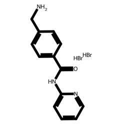 Br.Br.NCc1ccc(C(=O)Nc2ccccn2)cc1